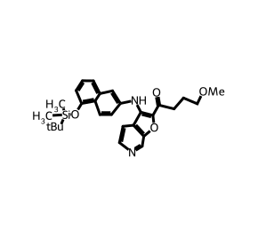 COCCCC(=O)c1oc2cnccc2c1Nc1ccc2c(O[Si](C)(C)C(C)(C)C)cccc2c1